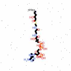 CCCCCC/C=C/CC(O)CC(=O)SCCNC(=O)CCNC(=O)C(O)C(C)(C)COP(=O)(O)OP(=O)(O)OCC1OC(n2cnc3c(N)ncnc32)C(O)C1OP(=O)(O)O